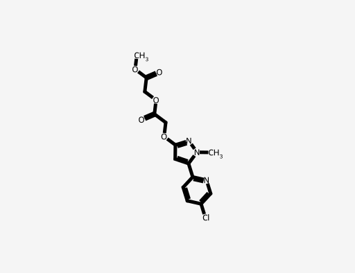 COC(=O)COC(=O)COc1cc(-c2ccc(Cl)cn2)n(C)n1